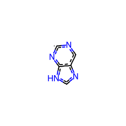 [c]1ncc2nc[nH]c2n1